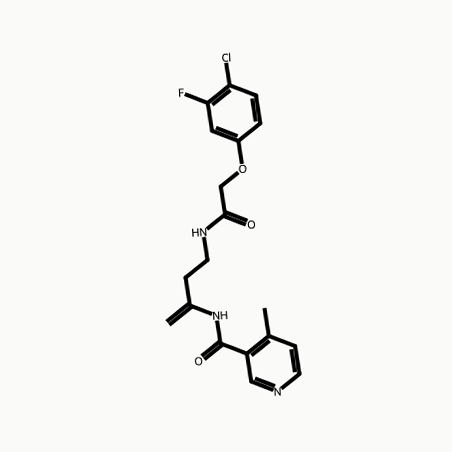 C=C(CCNC(=O)COc1ccc(Cl)c(F)c1)NC(=O)c1cnccc1C